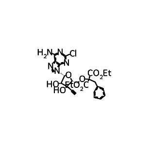 C#C[C@@]1(O)[C@@H](COC(Cc2ccccc2)(C(=O)OCC)C(=O)OCC)O[C@@H](n2cnc3c(N)nc(Cl)nc32)[C@@H]1O